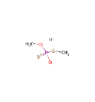 COP([O-])(=S)SC.[Ti+]